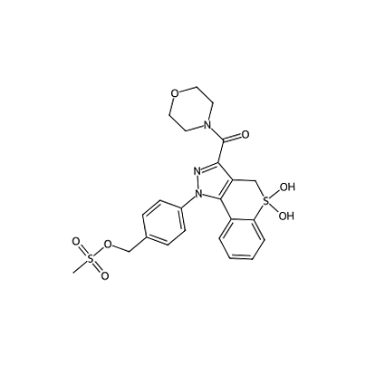 CS(=O)(=O)OCc1ccc(-n2nc(C(=O)N3CCOCC3)c3c2-c2ccccc2S(O)(O)C3)cc1